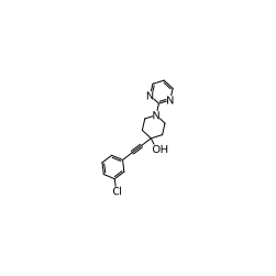 OC1(C#Cc2cccc(Cl)c2)CCN(c2ncccn2)CC1